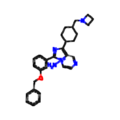 N[N+]12C=CN=CC1=C(C1CCC(CN3CCC3)CC1)N=C2c1cccc(OCc2ccccc2)c1